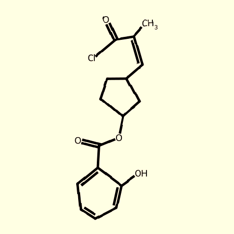 C/C(=C/C1CCC(OC(=O)c2ccccc2O)C1)C(=O)Cl